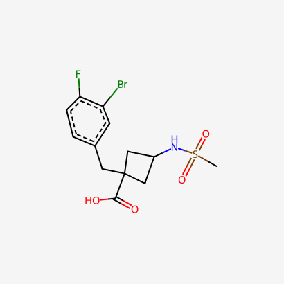 CS(=O)(=O)NC1CC(Cc2ccc(F)c(Br)c2)(C(=O)O)C1